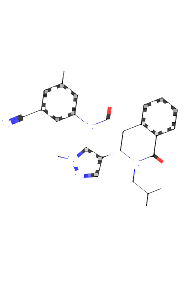 CC(C)CN1C(=O)c2ccccc2[C@@H](C(=O)Nc2cc(Cl)cc(C#N)c2)[C@@H]1c1cnn(C)c1